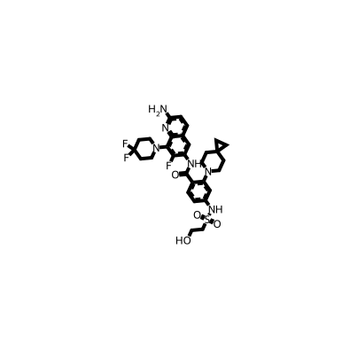 Nc1ccc2cc(NC(=O)c3ccc(NS(=O)(=O)CCO)cc3N3CCC4(CC3)CC4)c(F)c(N3CCC(F)(F)CC3)c2n1